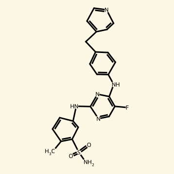 Cc1ccc(Nc2ncc(F)c(Nc3ccc(Cc4ccncc4)cc3)n2)cc1S(N)(=O)=O